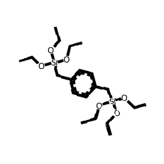 CCO[Si](Cc1ccc(C[Si](OCC)(OCC)OCC)cc1)(OCC)OCC